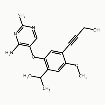 COc1cc(C(C)C)c(Oc2cnc(N)nc2N)cc1C#CCO